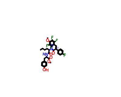 CCCCC(NC(=O)/C(=C\c1c(F)c(F)c(OC)c(F)c1F)c1ccc(F)cc1)C(=O)NC(Cc1ccc(O)cc1)C(=O)OC